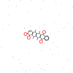 CC1C2=C(C(=O)C(=O)C=C2)C(C)C2=C1C(C)C1=C(C(=O)c3ccccc3C1=O)C2C